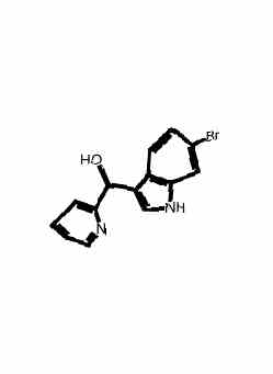 OC(c1ccccn1)c1c[nH]c2cc(Br)ccc12